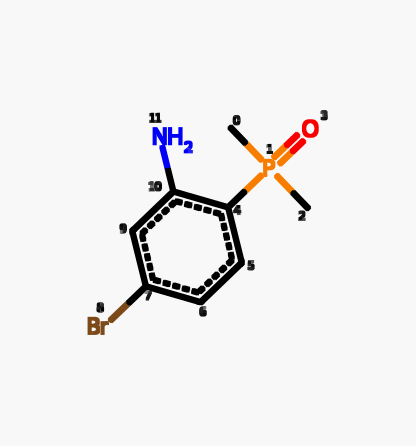 CP(C)(=O)c1ccc(Br)cc1N